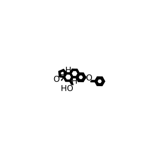 C[C@]12CC(CO)[C@@H]3c4ccc(OCc5ccccc5)cc4CC[C@H]3[C@@H]1CCC2=O